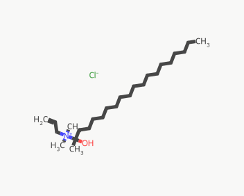 C=CC[N+](C)(C)C(C)(O)CCCCCCCCCCCCCCCCCC.[Cl-]